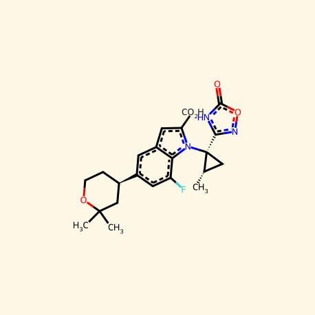 C[C@H]1C[C@]1(c1noc(=O)[nH]1)n1c(C(=O)O)cc2cc([C@@H]3CCOC(C)(C)C3)cc(F)c21